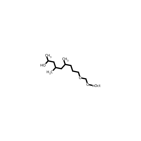 CCCCCCCCOCOCCCC(C)CC(C)CC(C)O